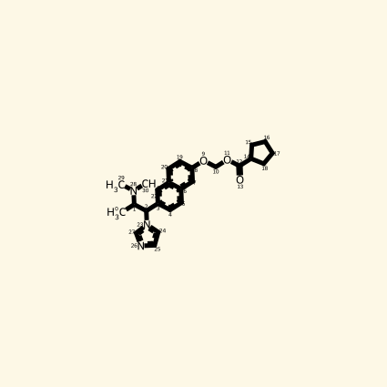 CC(C(c1ccc2cc(OCOC(=O)C3CCCC3)ccc2c1)n1ccnc1)N(C)C